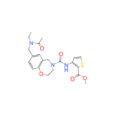 CCN(Cc1ccc2c(c1)CN(C(=O)Nc1ccsc1C(=O)OC)CCO2)C(C)=O